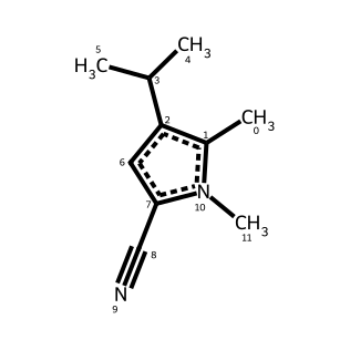 Cc1c(C(C)C)cc(C#N)n1C